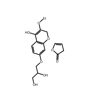 CCOC1=C(O)c2ccc(OCC(O)CO)cc2OC1.O=C1CC=CO1